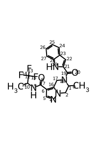 CC1Cn2ncc(C(=O)NC(C)C(F)(F)F)c2CN1C(=O)c1cc2ccccc2[nH]1